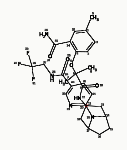 Cc1ccc(OC(C)(C)C(=O)NC2CC3CCC(C2)N3c2ccc(C(=O)NCC(F)(F)F)cn2)c(C(N)=O)c1